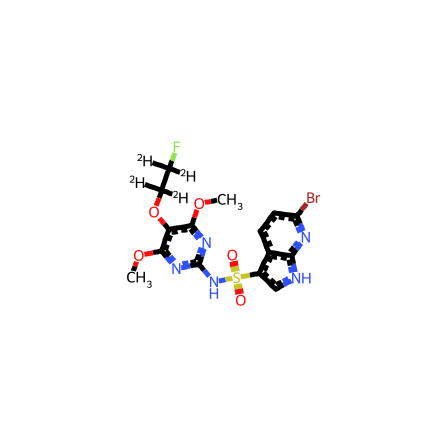 [2H]C([2H])(F)C([2H])([2H])Oc1c(OC)nc(NS(=O)(=O)c2c[nH]c3nc(Br)ccc23)nc1OC